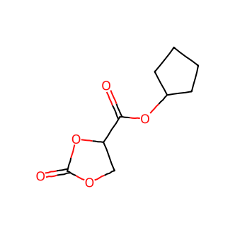 O=C1OCC(C(=O)OC2CCCC2)O1